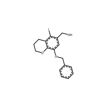 OCc1cc(OCc2ccccc2)c2c(c1I)CCCO2